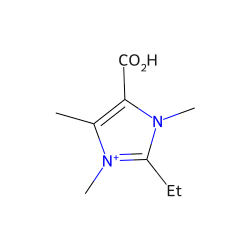 CCc1n(C)c(C(=O)O)c(C)[n+]1C